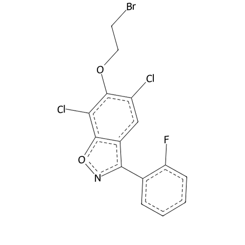 Fc1ccccc1-c1noc2c(Cl)c(OCCBr)c(Cl)cc12